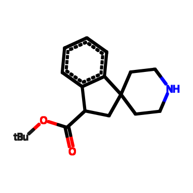 CC(C)(C)OC(=O)C1CC2(CCNCC2)c2ccccc21